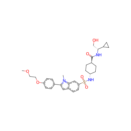 COCCOc1ccc(-c2cc3ccc(S(=O)(=O)N[C@H]4CC[C@H](C(=O)N[C@H](CO)C5CC5)CC4)cc3n2C)cc1